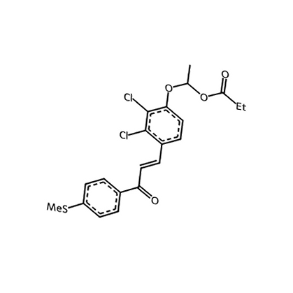 CCC(=O)OC(C)Oc1ccc(C=CC(=O)c2ccc(SC)cc2)c(Cl)c1Cl